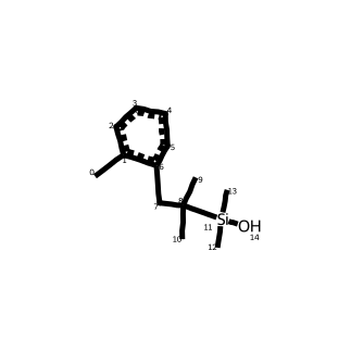 Cc1ccccc1CC(C)(C)[Si](C)(C)O